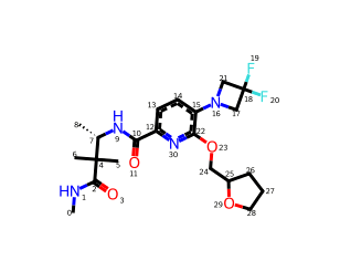 CNC(=O)C(C)(C)[C@H](C)NC(=O)c1ccc(N2CC(F)(F)C2)c(OCC2CCCO2)n1